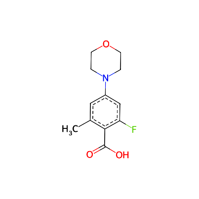 Cc1cc(N2CCOCC2)cc(F)c1C(=O)O